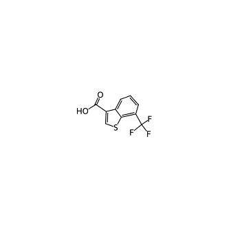 O=C(O)c1csc2c(C(F)(F)F)cccc12